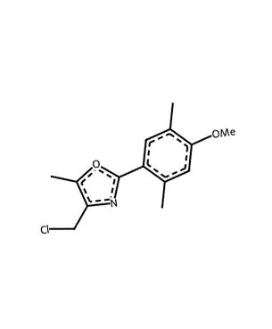 COc1cc(C)c(-c2nc(CCl)c(C)o2)cc1C